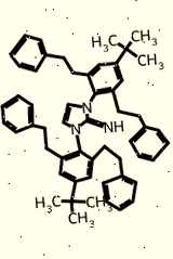 CC(C)(C)c1cc(CCc2ccccc2)c(-n2ccn(-c3c(CCc4ccccc4)cc(C(C)(C)C)cc3CCc3ccccc3)c2=N)c(CCc2ccccc2)c1